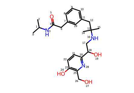 CC(C)NC(=O)Cc1cccc(CC(C)(C)NCC(O)c2ccc(O)c(CO)n2)c1